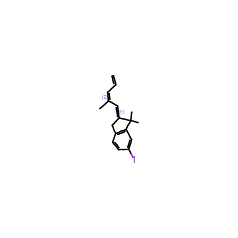 C=C/C=C(C)\C=C1/Cc2ccc(I)cc2C1(C)C